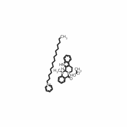 CCCCCCCCCCCCCCCC[n+]1ccccc1.CCO.CN1c2ccccc2C(=O)N2CCc3c([nH]c4ccccc34)[C@H]21.[Cl-]